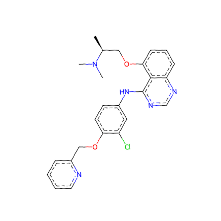 C[C@@H](COc1cccc2ncnc(Nc3ccc(OCc4ccccn4)c(Cl)c3)c12)N(C)C